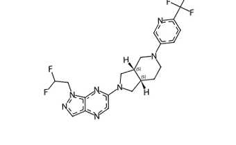 FC(F)Cn1ncc2ncc(N3C[C@H]4CCN(c5ccc(C(F)(F)F)nc5)C[C@H]4C3)nc21